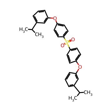 CC(C)c1cccc(Oc2ccc(S(=O)(=O)c3ccc(Oc4cccc(C(C)C)c4)cc3)cc2)c1